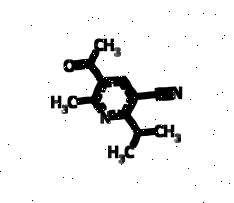 CC(=O)c1cc(C#N)c(C(C)C)nc1C